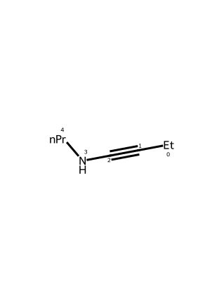 CCC#CNCCC